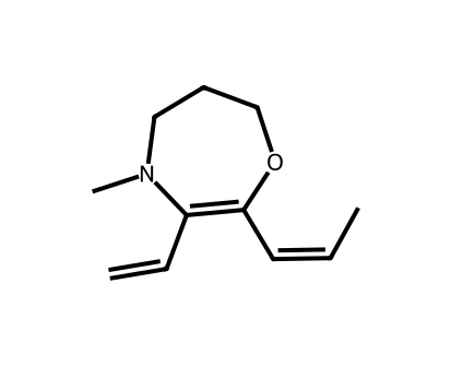 C=CC1=C(/C=C\C)OCCCN1C